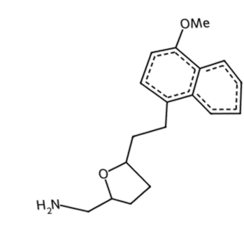 COc1ccc(CCC2CCC(CN)O2)c2ccccc12